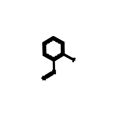 [N]=Nc1ccccc1F